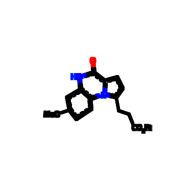 CCOC(=O)CCc1ccc2c(=O)[nH]c3cc(OC)ccc3n12